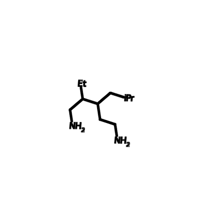 CCC(CN)C(CCN)CC(C)C